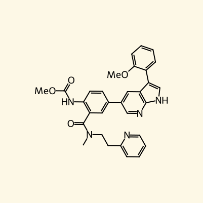 COC(=O)Nc1ccc(-c2cnc3[nH]cc(-c4ccccc4OC)c3c2)cc1C(=O)N(C)CCc1ccccn1